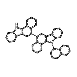 c1ccc2c(-n3c4ccccc4c4cc(-c5cc6c7ccccc7[nH]c6c6ccccc56)c5ccccc5c43)cccc2c1